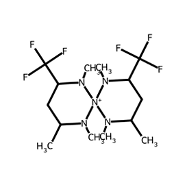 CC1CC(C(F)(F)F)N(C)[N+]2(N1C)N(C)C(C)CC(C(F)(F)F)N2C